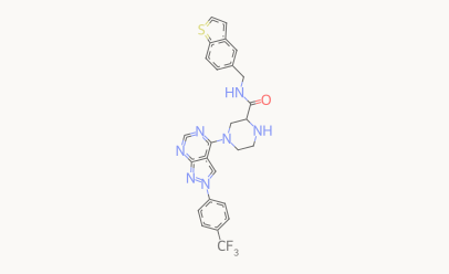 O=C(NCc1ccc2sccc2c1)C1CN(c2ncnc3nn(-c4ccc(C(F)(F)F)cc4)cc23)CCN1